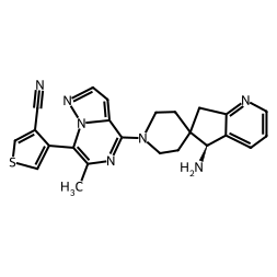 Cc1nc(N2CCC3(CC2)Cc2ncccc2[C@H]3N)c2ccnn2c1-c1cscc1C#N